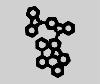 C1=CCC(c2cccc(-c3ccccc3)c2-n2c3ccccc3c3cc(-n4c5ccccc5c5ccc(-n6c7ccccc7c7ccccc76)cc54)ccc32)C=C1